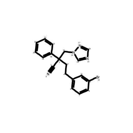 N#CC(CCc1cccc(Br)c1)(Cn1cncn1)c1ccccc1